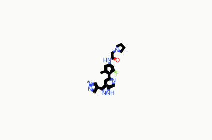 Cc1cc(NC(=O)CN2CCCC2)cc(F)c1-c1cc2c(-c3cnn(C)c3)n[nH]c2cn1